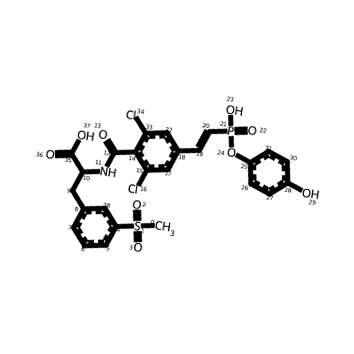 CS(=O)(=O)c1cccc(CC(NC(=O)c2c(Cl)cc(/C=C/P(=O)(O)Oc3ccc(O)cc3)cc2Cl)C(=O)O)c1